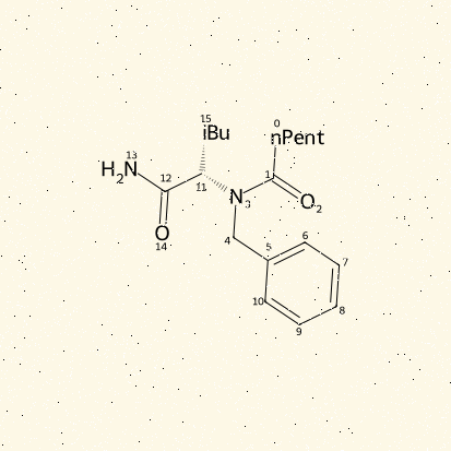 CCCCCC(=O)N(Cc1ccccc1)[C@H](C(N)=O)[C@@H](C)CC